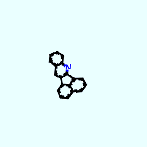 c1ccc2nc3c(cc2c1)-c1cccc2cccc-3c12